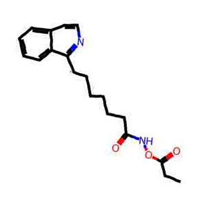 CCC(=O)ONC(=O)CCCCC[CH]c1nccc2ccccc12